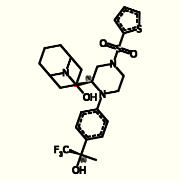 C[C@](O)(c1ccc(N2CCN(S(=O)(=O)c3cccs3)C[C@@H]2CN2C3CCCC2CC(O)C3)cc1)C(F)(F)F